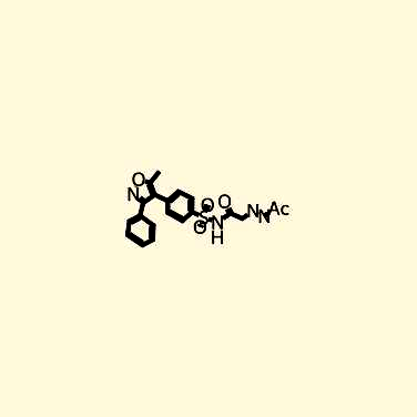 CC(=O)/N=N/CC(=O)NS(=O)(=O)c1ccc(-c2c(-c3ccccc3)noc2C)cc1